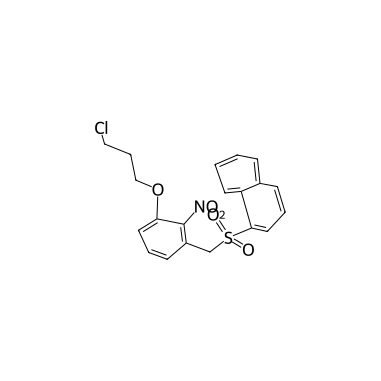 O=[N+]([O-])c1c(CS(=O)(=O)c2cccc3ccccc23)cccc1OCCCCl